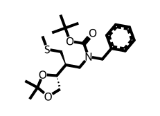 CSC[C@@H](CN(Cc1ccccc1)C(=O)OC(C)(C)C)[C@@H]1COC(C)(C)O1